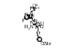 COc1ccc(COCCC2(C)C(=O)Nc3nc(-c4nn(CCC(F)(F)C(F)(F)F)c5ncc(F)cc45)nc(N)c32)cc1